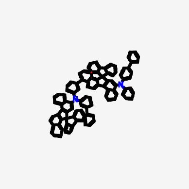 c1ccc(-c2ccc(N(c3ccccc3)c3cc4c(c5ccccc35)-c3ccc5c(-c6cccc(N(c7cccc(-c8ccccc8)c7)c7cc8c(c9ccccc79)-c7ccc9ccccc9c7C87c8ccccc8-c8ccccc87)c6)cccc5c3C43c4ccccc4-c4ccccc43)cc2)cc1